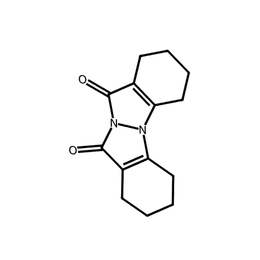 O=c1c2c(n3c4c(c(=O)n13)CCCC4)CCCC2